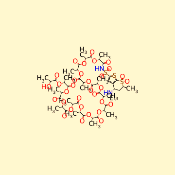 CCN[C@H]1C[C@H](C)S(=O)(=O)c2sc(S(=O)(=O)NC(=O)C(C)OC(=O)C(C)OC(=O)C(C)OC(=O)C(C)OC(=O)C(C)OC(=O)C(C)OC(=O)C(C)OC(=O)C(C)OC(=O)C(C)OC(=O)C(C)OC(=O)C(C)OC(=O)C(C)OC(=O)C(C)OC(=O)C(C)O)cc21